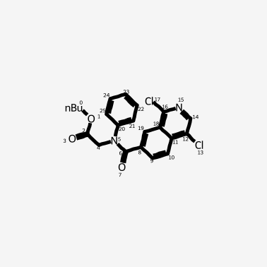 CCCCOC(=O)CN(C(=O)c1ccc2c(Cl)cnc(Cl)c2c1)c1ccccc1